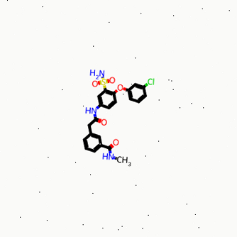 CNC(=O)c1cccc(CC(=O)Nc2ccc(Oc3cccc(Cl)c3)c(S(N)(=O)=O)c2)c1